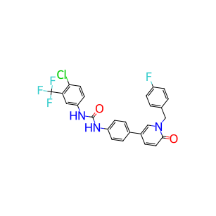 O=C(Nc1ccc(-c2ccc(=O)n(Cc3ccc(F)cc3)c2)cc1)Nc1ccc(Cl)c(C(F)(F)F)c1